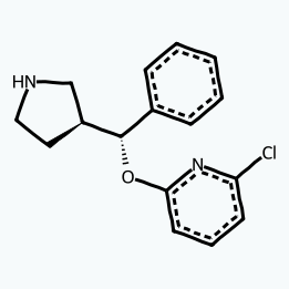 Clc1cccc(O[C@@H](c2ccccc2)[C@H]2CCNC2)n1